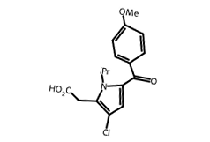 COc1ccc(C(=O)c2cc(Cl)c(CC(=O)O)n2C(C)C)cc1